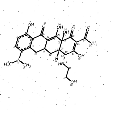 CN(C)c1ccc(O)c2c1CC1C[C@H]3[C@@H](NCCO)C(O)=C(C(N)=O)C(=O)[C@@]3(O)C(O)=C1C2=O